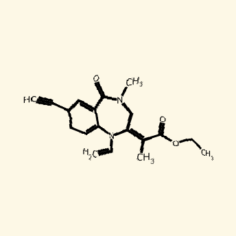 C#CC1C=C2C(=O)N(C)C/C(=C(/C)C(=O)OCC)N(C=C)C2=CC1